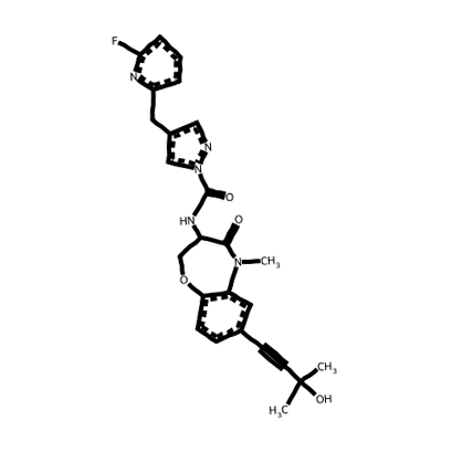 CN1C(=O)C(NC(=O)n2cc(Cc3cccc(F)n3)cn2)COc2ccc(C#CC(C)(C)O)cc21